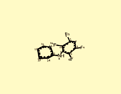 Fc1cc(F)c(F)c(Nc2cc[c]cc2)c1F